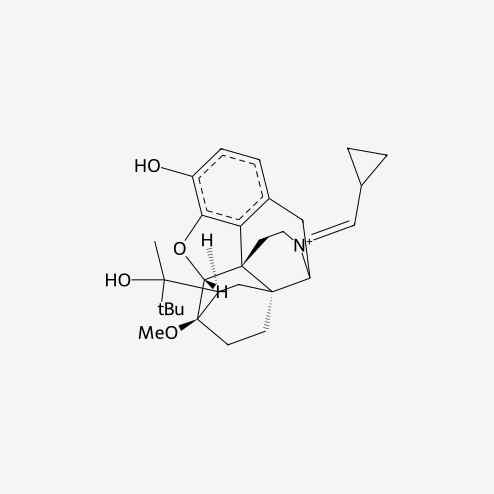 CO[C@]12CC[C@@]3(C[C@@H]1C(C)(O)C(C)(C)C)C1Cc4ccc(O)c5c4[C@@]3(CC/[N+]1=C\C1CC1)[C@H]2O5